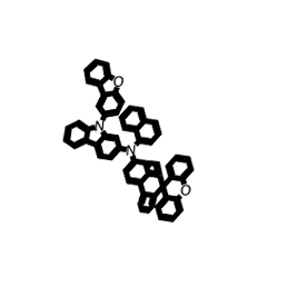 c1ccc2c(c1)Oc1ccccc1C21c2ccccc2-c2ccc(N(c3ccc4c5ccccc5n(-c5ccc6oc7ccccc7c6c5)c4c3)c3cccc4ccccc34)c3cccc1c23